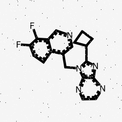 Fc1ccc2c(Cn3c(C4CCC4)nc4nccnc43)cncc2c1F